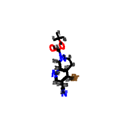 CC(C)(C)OC(=O)N1CCc2c(ncc(C#N)c2Br)C1